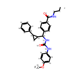 O=C(O)CCNC(=O)c1ccc(C(NC(=O)Nc2ccc(OC(F)(F)F)cc2)C2CC2c2ccccc2)cc1